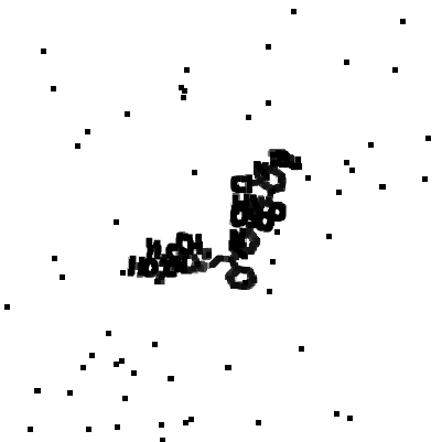 CC(C)(C)c1ccc(C(=O)NS(=O)(=O)c2ccn(C(CC[C@@H]3CN(C(=O)O)C(C)(C)C3)c3ccccc3)n2)c(Cl)n1